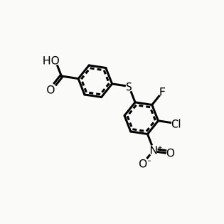 O=C(O)c1ccc(Sc2ccc([N+](=O)[O-])c(Cl)c2F)cc1